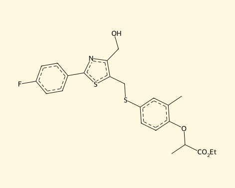 CCOC(=O)C(C)Oc1ccc(SCc2sc(-c3ccc(F)cc3)nc2CO)cc1C